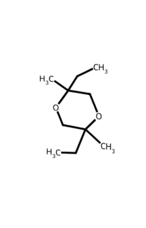 CCC1(C)COC(C)(CC)CO1